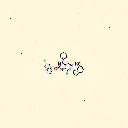 N#Cc1cccc2c1C(c1ncc3c(N4CCCCC4)nc(OC[C@@]45CCCN4C[C@H](F)C5)nc3c1F)=CC2